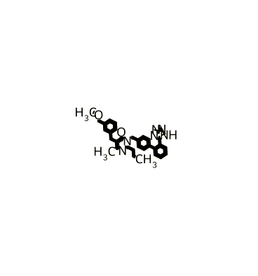 CCCc1nc(C)c(Cc2cccc(COC)c2)c(=O)n1Cc1ccc(-c2ccccc2-c2nnn[nH]2)cc1